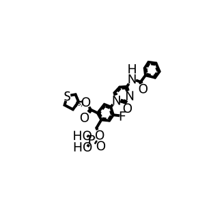 O=C(Nc1ccn(-c2cc(C(=O)O[C@H]3CCSC3)c(COP(=O)(O)O)cc2F)c(=O)n1)c1ccccc1